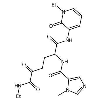 CCNC(=O)C(=O)CCC(NC(=O)c1cncn1C)C(=O)Nc1cccn(CC)c1=O